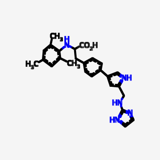 Cc1cc(C)c(NC(Cc2ccc(-c3c[nH]c(CNc4ncc[nH]4)c3)cc2)C(=O)O)c(C)c1